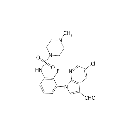 CN1CCN(S(=O)(=O)Nc2cccc(-n3cc(C=O)c4cc(Cl)cnc43)c2F)CC1